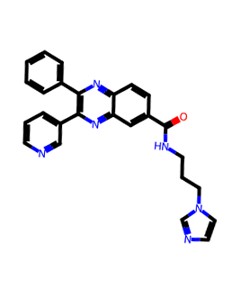 O=C(NCCCn1ccnc1)c1ccc2nc(-c3ccccc3)c(-c3cccnc3)nc2c1